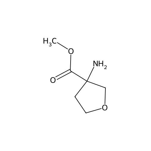 COC(=O)C1(N)CCOC1